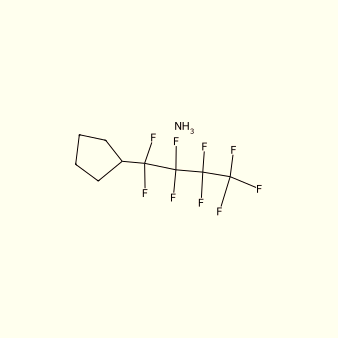 FC(F)(F)C(F)(F)C(F)(F)C(F)(F)C1CCCC1.N